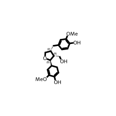 COC1=CC([C@H]2OC[C@H](Cc3ccc(O)c(OC)c3)[C@@H]2CO)CC=C1O